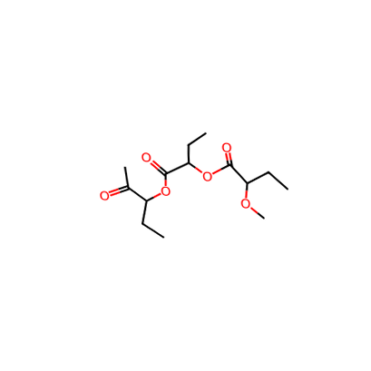 CCC(OC(=O)C(CC)OC(=O)C(CC)OC)C(C)=O